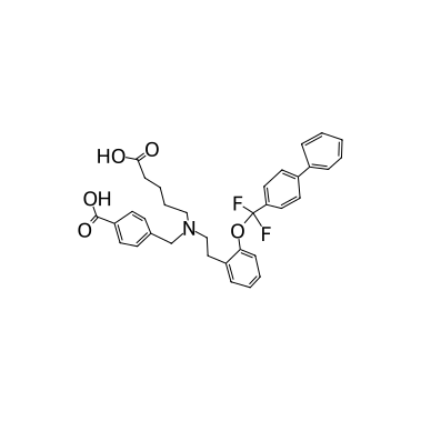 O=C(O)CCCCN(CCc1ccccc1OC(F)(F)c1ccc(-c2ccccc2)cc1)Cc1ccc(C(=O)O)cc1